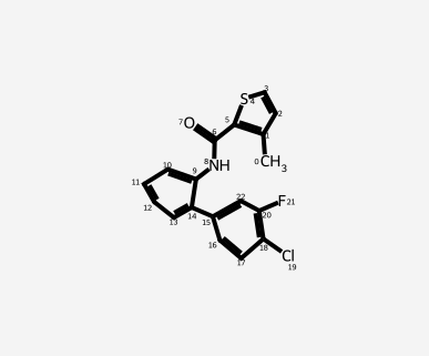 Cc1ccsc1C(=O)Nc1ccccc1-c1ccc(Cl)c(F)c1